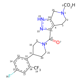 O=C(O)N1CCc2c(C(=O)N3CCC(c4ccc(F)cc4C(F)(F)F)CC3)n[nH]c2C1